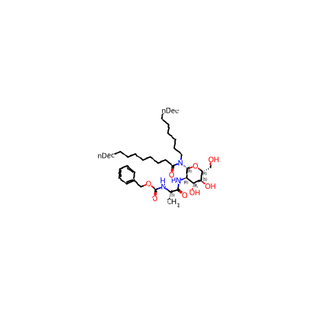 CCCCCCCCCCCCCCCCCC(=O)N(CCCCCCCCCCCCCCCC)[C@@H]1O[C@H](CO)[C@@H](O)[C@H](O)[C@H]1NC(=O)[C@H](C)NC(=O)OCc1ccccc1